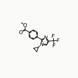 COC(=O)c1ccc(-c2nc(C(F)(F)F)cn2C2CC2)cc1